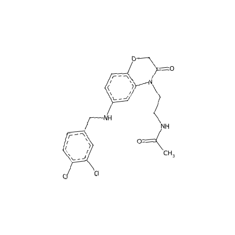 CC(=O)NCCN1C(=O)COc2ccc(NCc3ccc(Cl)c(Cl)c3)cc21